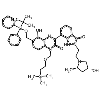 C[C@@H]1C[C@@H](O)CN1CCn1[nH]c2c(-c3nc4c(O)c(CO[Si](c5ccccc5)(c5ccccc5)C(C)(C)C)ccc4n(COCC[Si](C)(C)C)c3=O)cccc2c1=O